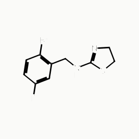 Fc1ccc(Br)c(CNC2=NCCS2)c1